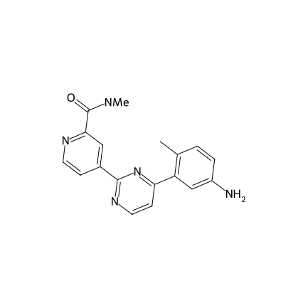 CNC(=O)c1cc(-c2nccc(-c3cc(N)ccc3C)n2)ccn1